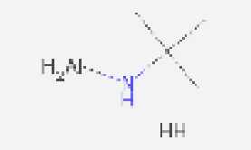 CC(C)(C)[NH][AlH2].[HH]